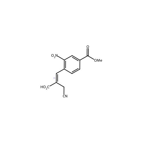 COC(=O)c1ccc(/C=C(\CC#N)C(=O)O)c([N+](=O)[O-])c1